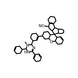 CN1C(C2C=C(C3CCC4C(C3)OC3CCC=CC3C43C4CCCCC4C4C5=C(CCCC5)C(C#N)CC43)CCC2)N=C(C2=CCCC=C2)NC1C1CC=CCC1